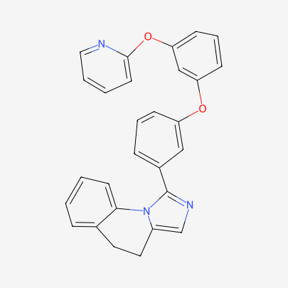 c1ccc(Oc2cccc(Oc3cccc(-c4ncc5n4-c4ccccc4CC5)c3)c2)nc1